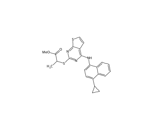 COC(=O)C(C)Sc1nc(Nc2ccc(C3CC3)c3ccccc23)c2ccsc2n1